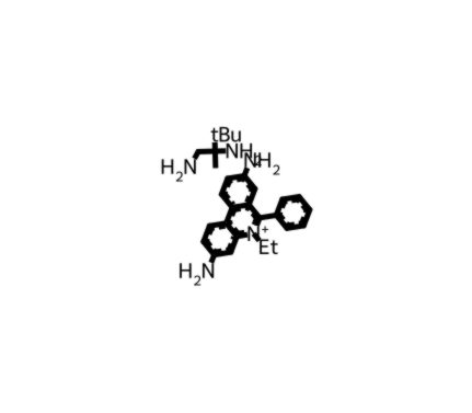 CC(C)(C)C(C)(N)CN.CC[n+]1c(-c2ccccc2)c2cc(N)ccc2c2ccc(N)cc21